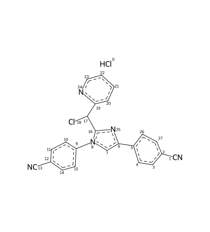 Cl.N#Cc1ccc(-c2cn(-c3ccc(C#N)cc3)c(C(Cl)c3ccccn3)n2)cc1